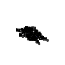 COC(=O)c1cnn(-c2nc(C)ns2)c1/N=N/c1c(C)nn(-c2cc(-n3nc(C)c(/N=N/c4c(C(=O)CO)cnn4-c4nc(C)ns4)c3N)ncn2)c1N